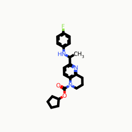 CC(Nc1ccc(F)cc1)c1ccc2c(n1)CCCN2C(=O)OC1CCCC1